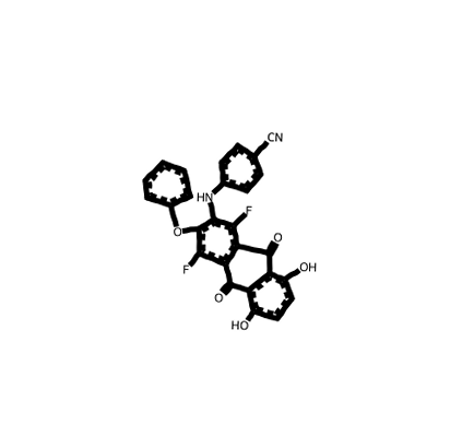 N#Cc1ccc(Nc2c(F)c3c(c(F)c2Oc2ccccc2)C(=O)c2c(O)ccc(O)c2C3=O)cc1